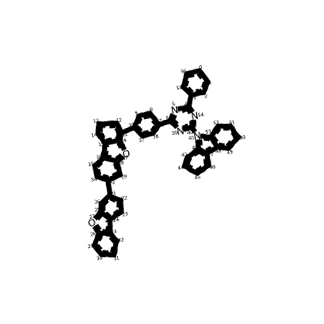 c1ccc(-c2nc(-c3ccc(-c4cccc5c4oc4cc(-c6ccc7c(c6)oc6ccccc67)ccc45)cc3)nc(-n3c4ccccc4c4ccccc43)n2)cc1